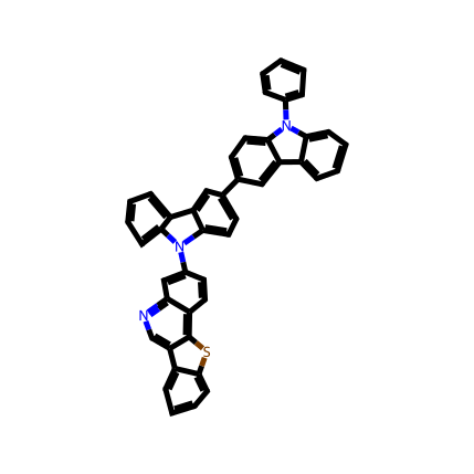 c1ccc(-n2c3ccccc3c3cc(-c4ccc5c(c4)c4ccccc4n5-c4ccc5c(c4)ncc4c6ccccc6sc54)ccc32)cc1